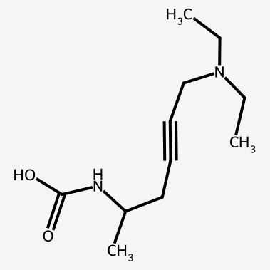 CCN(CC)CC#CCC(C)NC(=O)O